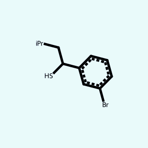 CC(C)CC(S)c1cccc(Br)c1